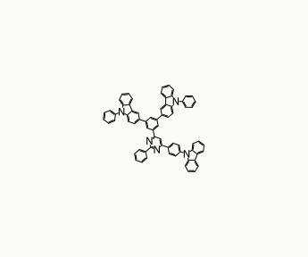 c1ccc(-c2nc(-c3ccc(-n4c5ccccc5c5ccccc54)cc3)cc(-c3cc(-c4ccc5c(c4)c4ccccc4n5-c4ccccc4)cc(-c4ccc5c(c4)c4ccccc4n5-c4ccccc4)c3)n2)cc1